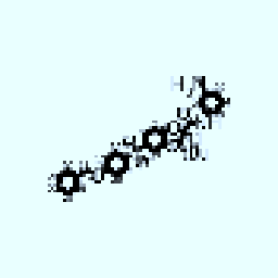 CC(C)(C)C(=O)C(Cl)(Oc1ccc(S(=O)(=O)c2ccc(OCc3ccccc3)cc2)cc1)C(=O)Nc1cccc(N)c1